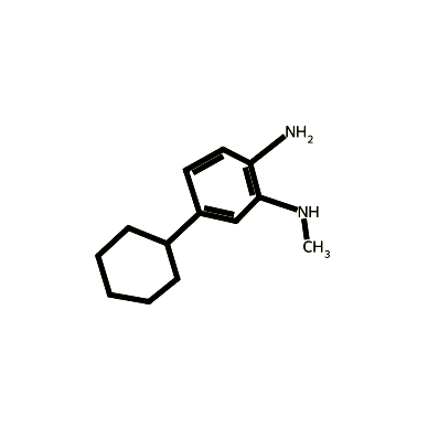 CNc1cc(C2CCCCC2)ccc1N